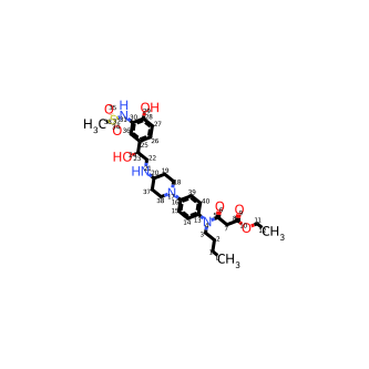 CCCCN(C(=O)CC(=O)OCC)c1ccc(N2CCC(NC[C@@H](O)c3ccc(O)c(NS(C)(=O)=O)c3)CC2)cc1